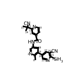 Cc1ncc(NC(=O)c2ccnc(C(C)(C)C#N)c2)cc1-c1cnc([SiH3])c(C#N)c1